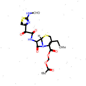 COCC1=C(C(=O)OCOC(=O)C(C)(C)C)N2C(=O)C(NC(=O)C(=O)c3csc(NC=O)n3)[C@@H]2SC1